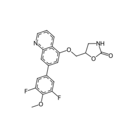 COc1c(F)cc(-c2cc(OCC3CNC(=O)O3)c3cccnc3c2)cc1F